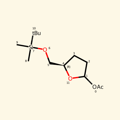 CC(=O)OC1CC[C@H](CO[Si](C)(C)C(C)(C)C)O1